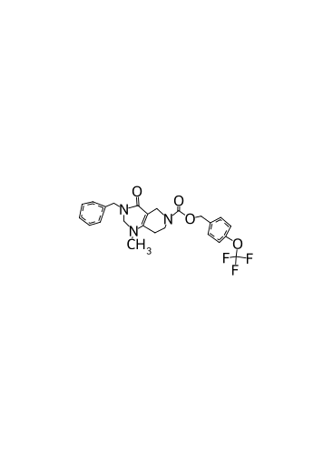 CN1CN(Cc2ccccc2)C(=O)C2=C1CCN(C(=O)OCc1ccc(OC(F)(F)F)cc1)C2